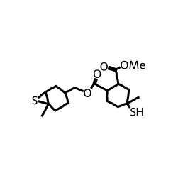 COC(=O)C1CC(C)(S)CCC1C(=O)OCC1CCC2(C)SC2C1